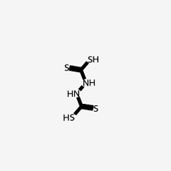 S=C(S)NNC(=S)S